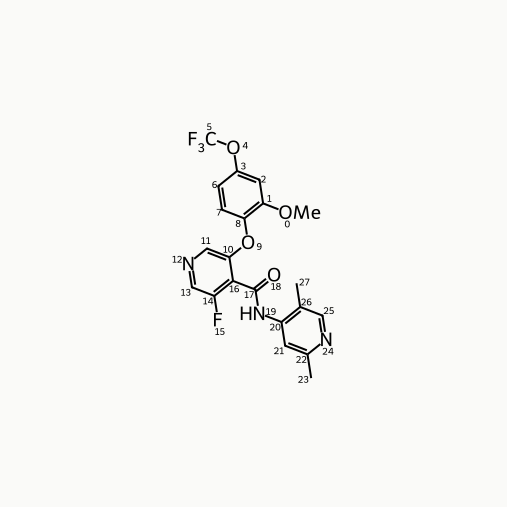 COc1cc(OC(F)(F)F)ccc1Oc1cncc(F)c1C(=O)Nc1cc(C)ncc1C